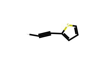 [CH2]C#Cc1cccs1